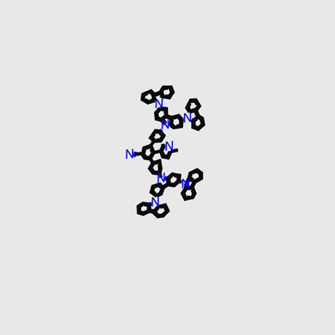 Cc1ccc(-c2c(-c3ccc(-n4c5ccc(-n6c7ccccc7c7ccccc76)cc5c5cc(-n6c7ccccc7c7ccccc76)ccc54)cc3)cc(C#N)cc2-c2ccc(-n3c4ccc(-n5c6ccccc6c6ccccc65)cc4c4cc(-n5c6ccccc6c6ccccc65)ccc43)cc2)c(C)n1